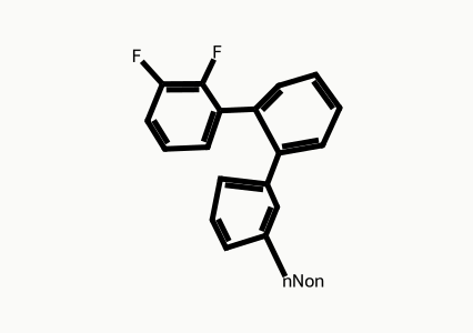 CCCCCCCCCc1cccc(-c2ccccc2-c2cccc(F)c2F)c1